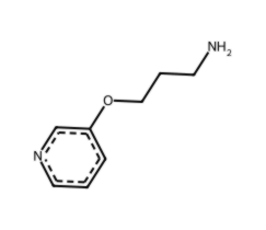 NCCCOc1cccnc1